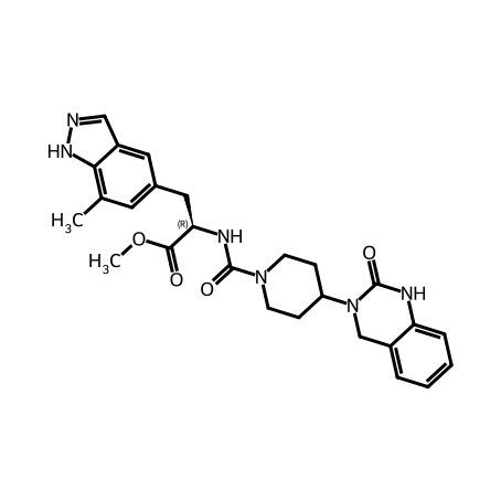 COC(=O)[C@@H](Cc1cc(C)c2[nH]ncc2c1)NC(=O)N1CCC(N2Cc3ccccc3NC2=O)CC1